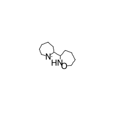 C1CC[N]C(C2CCCCON2)CC1